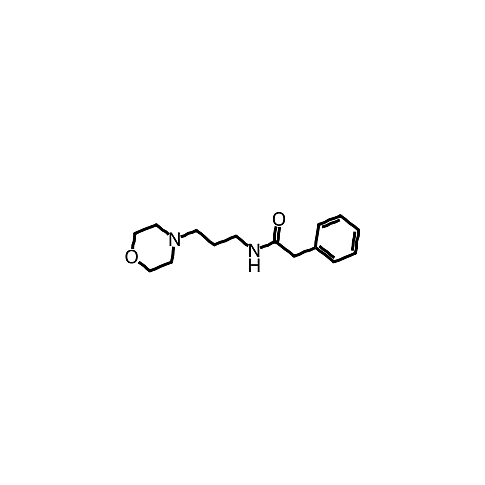 O=C(Cc1ccccc1)NCCCN1CCOCC1